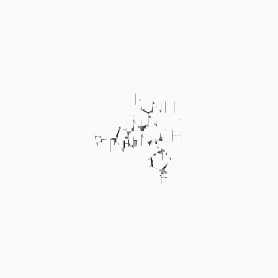 C[C@H](NC1=NC(N)=C(F)CN1c1cc(C2CC2)[nH]n1)c1ccc(F)cn1